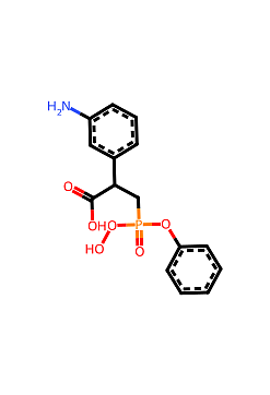 Nc1cccc(C(CP(=O)(OO)Oc2ccccc2)C(=O)O)c1